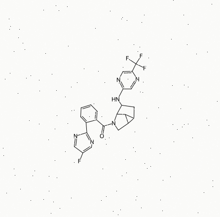 O=C(c1ccccc1-c1ncc(F)cn1)N1CC2C3CC(Nc4cnc(C(F)(F)F)cn4)C1C32